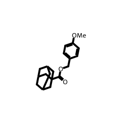 COc1ccc(COC(=O)C23CC4CC(CC(C4)C2)C3)cc1